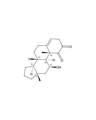 C[C@@]12CCC[C@H]1[C@@H]1CCC3=CCC(=O)C(=O)[C@]3(C)[C@H]1[C@@H](O)C2